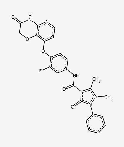 Cc1c(C(=O)Nc2ccc(Oc3ccnc4c3OCC(=O)N4)c(F)c2)c(=O)n(-c2ccccc2)n1C